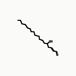 CCCCCCCCCCCCCC(O)C/C=C/C=O